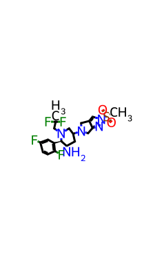 CC(F)(F)CN1CC(N2Cc3cn(S(C)(=O)=O)nc3C2)CC(N)[C@H]1c1cc(F)ccc1F